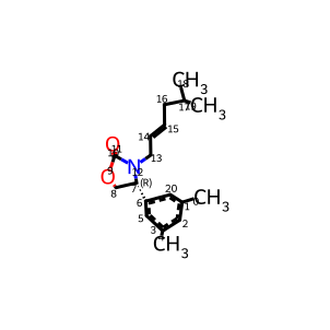 Cc1cc(C)cc([C@@H]2COC(=O)N2CC=CCC(C)C)c1